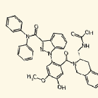 COc1cc(-n2nc(C(=O)N(c3ccccc3)c3ccccc3)c3ccccc32)c(C(=O)N2Cc3ccccc3C[C@H]2CNC(=O)O)cc1O